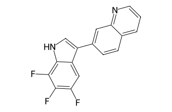 Fc1cc2c(-c3ccc4cccnc4c3)c[nH]c2c(F)c1F